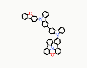 c1cc2c(c(-c3ccc(-n4c5ccccc5c5cc(-c6ccc7c(c6)c6ccccc6n7-c6ccc7c(c6)oc6ccccc67)ccc54)cc3)c1)-n1c3ccccc3c3cccc(c31)O2